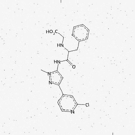 Cn1nc(-c2ccnc(Cl)c2)cc1NC(=O)C(Cc1ccccc1)NCC(=O)O